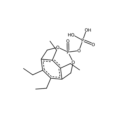 CCc1c(CC)c2c(CC)c(CC)c1COP(=O)(OP(=O)(O)O)OC2